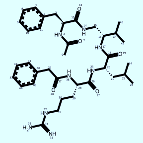 CC(=O)N[C@@H](Cc1ccccc1)C(=O)NC[C@@H](NC(=O)[C@H](CC(C)C)NC(=O)[C@H](CCCNC(=N)N)NC(=O)Cc1ccccc1)C(C)C